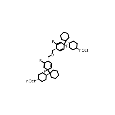 CCCCCCCC[C@H]1CC[C@H](C2([C@@]3(F)C=C[C@@H](COC[C@@H]4C=C[C@](F)(C5([C@H]6CC[C@H](CCCCCCCC)CC6)CCCCC5)C=C4F)C(F)=C3)CCCCC2)CC1